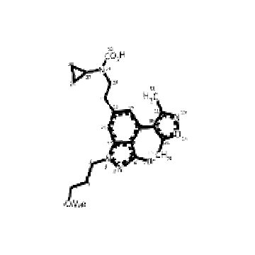 COCCCn1nc(Br)c2c(-c3c(C)noc3C)cc(CCN(C(=O)O)C3CC3)cc21